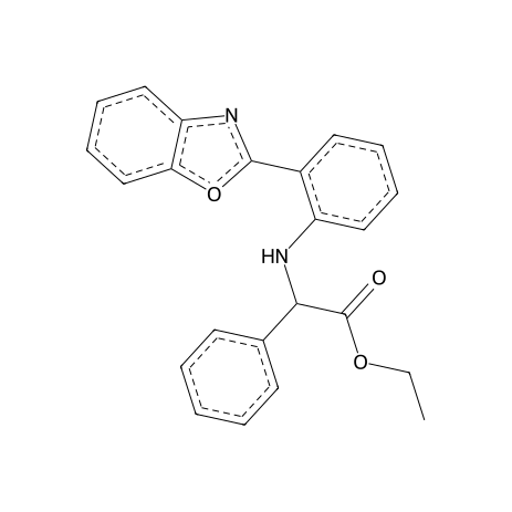 CCOC(=O)C(Nc1ccccc1-c1nc2ccccc2o1)c1ccccc1